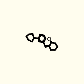 O=C1CCCCC1=Cc1cccc(C2CCCCC2)c1